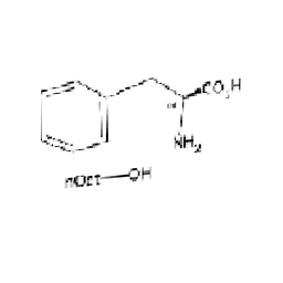 CCCCCCCCO.N[C@@H](Cc1ccccc1)C(=O)O